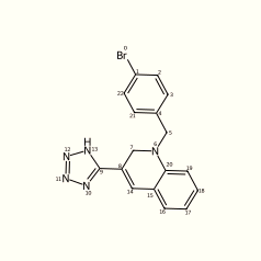 Brc1ccc(CN2CC(c3nnn[nH]3)=Cc3ccccc32)cc1